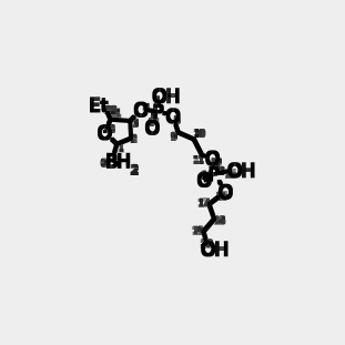 BC1CC(OP(=O)(O)OCCCOP(=O)(O)OCCCO)C(CC)O1